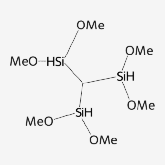 CO[SiH](OC)C([SiH](OC)OC)[SiH](OC)OC